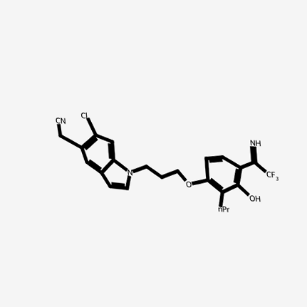 CCCc1c(OCCCn2ccc3cc(CC#N)c(Cl)cc32)ccc(C(=N)C(F)(F)F)c1O